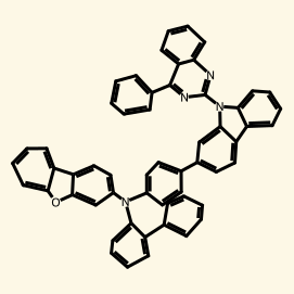 c1ccc(-c2ccccc2N(c2ccc(-c3ccc4c5ccccc5n(-c5nc(-c6ccccc6)c6ccccc6n5)c4c3)cc2)c2ccc3c(c2)oc2ccccc23)cc1